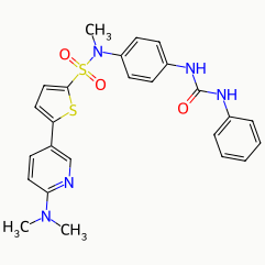 CN(C)c1ccc(-c2ccc(S(=O)(=O)N(C)c3ccc(NC(=O)Nc4ccccc4)cc3)s2)cn1